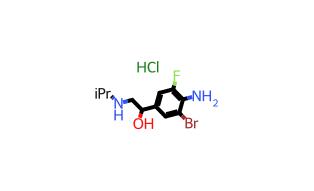 CC(C)NCC(O)c1cc(F)c(N)c(Br)c1.Cl